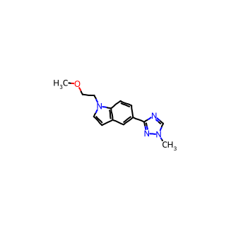 COCCn1ccc2cc(-c3ncn(C)n3)ccc21